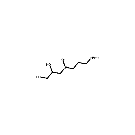 CCCCCCCC[S+]([O-])CC(O)CO